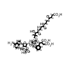 CC(C)(COP(=O)(O)OP(=O)(O)OC[C@H]1O[C@@H](n2cnc3c(N)ncnc32)[C@H](O)[C@@H]1OP(=O)(O)O)[C@@H](O)C(=O)NCCC(=O)NCCSC(=O)CCC(=O)O.O=C(O)C[C@@H](Cc1ccccc1)C(=O)O